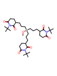 CO[Si](CCCC1CCC(=O)N(C(C)(C)C)C1=O)(CCCC1CCC(=O)N(C(C)(C)C)C1=O)CCCC1CCC(=O)N(C(C)(C)C)C1=O